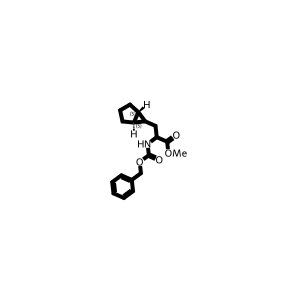 COC(=O)C(CC1[C@H]2CCC[C@H]12)NC(=O)OCc1ccccc1